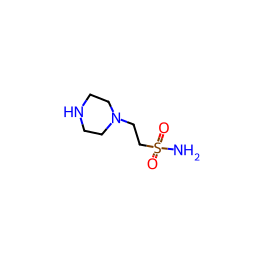 NS(=O)(=O)CCN1CCNCC1